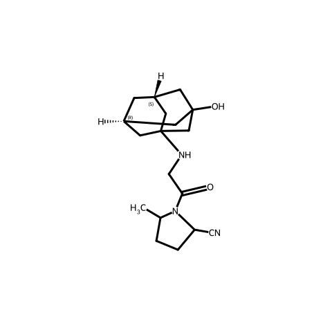 CC1CCC(C#N)N1C(=O)CNC12C[C@@H]3C[C@@H](CC(O)(C3)C1)C2